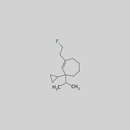 CC(C)C1(C2CC2)C=C(CCF)CCCC1